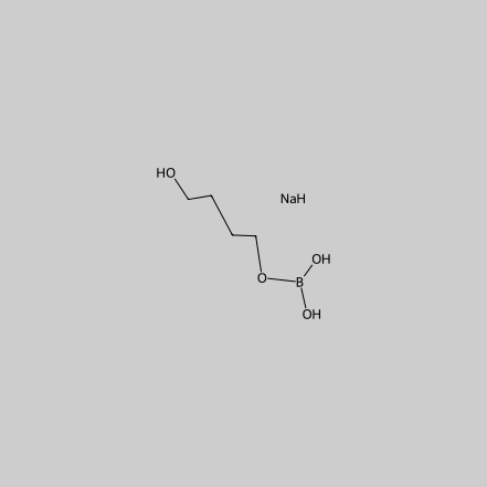 OCCCCOB(O)O.[NaH]